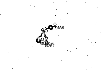 COC(=O)c1ccc([C@H](C)OC(=O)N(CCCn2cccc(O)c2=O)CCOCCP(=O)(O)OC)cc1